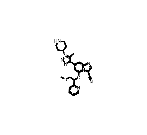 COCC(Oc1cc(-c2nnn(C3CCNCC3)c2C)cc2ncc(C#N)n12)c1ccccn1